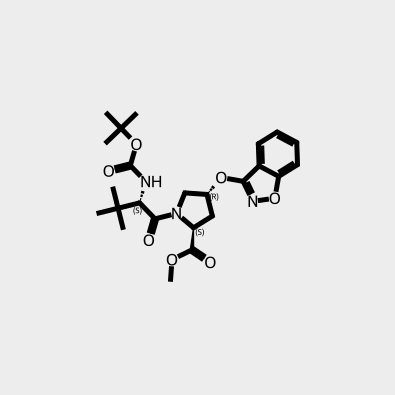 COC(=O)[C@@H]1C[C@@H](Oc2noc3ccccc23)CN1C(=O)[C@@H](NC(=O)OC(C)(C)C)C(C)(C)C